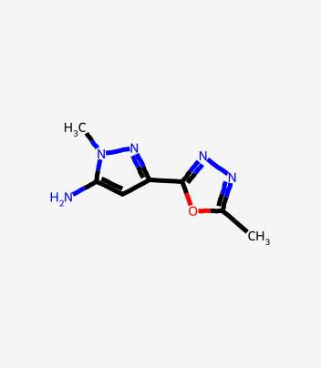 Cc1nnc(-c2cc(N)n(C)n2)o1